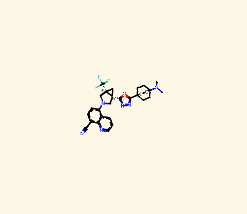 CN(C)C12CCC(c3nnc([C@]45CN(c6ccc(C#N)c7ncccc67)C[C@@]4(C(F)(F)F)C5)o3)(CC1)CC2